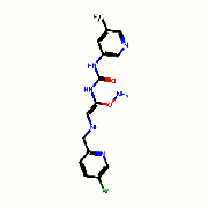 NO/C(=C\NCc1ccc(Br)cn1)NC(=O)Nc1cncc(C(F)(F)F)c1